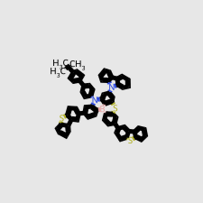 CC(C)(C)c1ccc(-c2ccc(N3c4cc(-c5ccc6sc7ccccc7c6c5)ccc4B4c5ccc(-c6ccc7sc8ccccc8c7c6)cc5Sc5cc(-n6c7ccccc7c7ccccc76)cc3c54)cc2)cc1